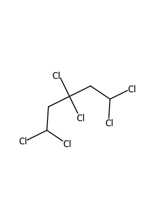 ClC(Cl)CC(Cl)(Cl)CC(Cl)Cl